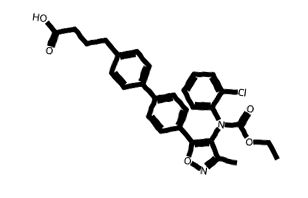 CCOC(=O)N(c1ccccc1Cl)c1c(C)noc1-c1ccc(-c2ccc(CCCC(=O)O)cc2)cc1